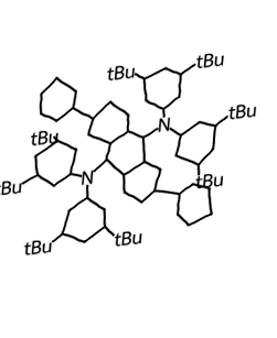 CC(C)(C)C1CC(N(C2CC(C(C)(C)C)CC(C(C)(C)C)C2)C2C3CCC(C4CCCCC4)CC3C(N(C3CC(C(C)(C)C)CC(C(C)(C)C)C3)C3CC(C(C)(C)C)CC(C(C)(C)C)C3)C3CCC(C4CCCCC4)CC32)CC(C(C)(C)C)C1